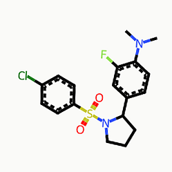 CN(C)c1ccc(C2CCCN2S(=O)(=O)c2ccc(Cl)cc2)cc1F